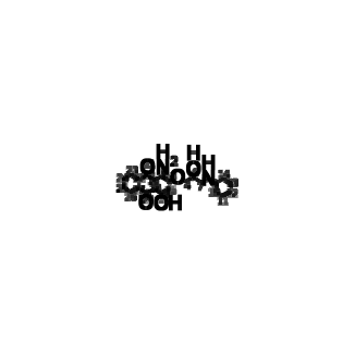 Nc1c(OCC(O)CNc2ccccc2)cc(O)c2c1C(=O)c1ccccc1C2=O